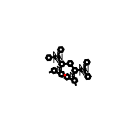 Cc1ccc2c(c1)c1ccccc1n2-c1cc(-c2cccc(-c3cc(-c4nc(-c5ccccc5)nc(-c5ccccc5)n4)cc(-n4c5ccccc5c5cc(C)ccc54)c3)c2)cc(-c2nc(-c3ccccc3)nc(-c3ccccc3)n2)c1